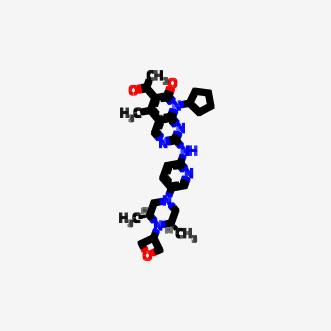 CC(=O)c1c(C)c2cnc(Nc3ccc(N4C[C@@H](C)N(C5COC5)[C@@H](C)C4)cn3)nc2n(C2CCCC2)c1=O